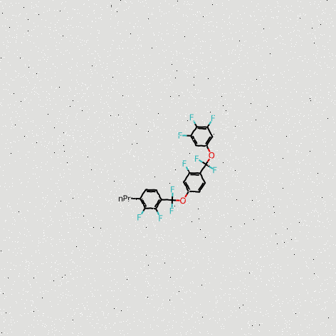 CCCc1ccc(C(F)(F)Oc2ccc(C(F)(F)Oc3cc(F)c(F)c(F)c3)c(F)c2)c(F)c1F